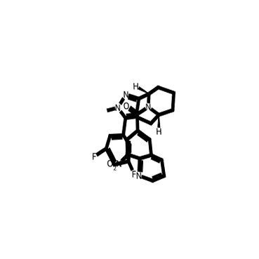 Cn1nc2c(c1-c1cc(F)cc(F)c1)C[C@H]1CCC[C@@H]2N1C(=O)c1cc([N+](=O)[O-])c2ncccc2c1